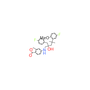 COc1ccc(F)cc1C(C)(C)CC(O)(CNc1ccc2c(c1)COC2=O)Cc1ccc(F)cc1